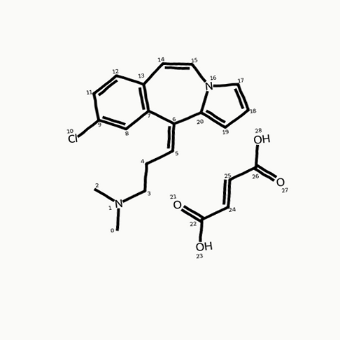 CN(C)CCC=C1c2cc(Cl)ccc2C=Cn2cccc21.O=C(O)C=CC(=O)O